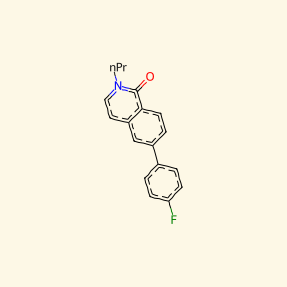 CCCn1ccc2cc(-c3ccc(F)cc3)ccc2c1=O